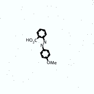 COc1ccc(N=Nc2ccccc2C(=O)O)cc1